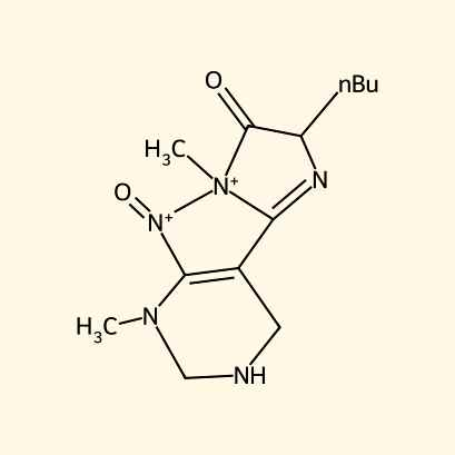 CCCCC1N=C2C3=C(N(C)CNC3)[N+](=O)[N+]2(C)C1=O